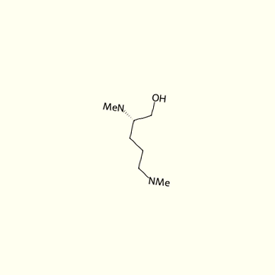 CNCCC[C@@H](CO)NC